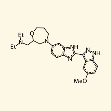 CCN(CC)CC1CN(c2ccc3nc(-c4n[nH]c5ccc(OC)cc45)[nH]c3c2)CCCO1